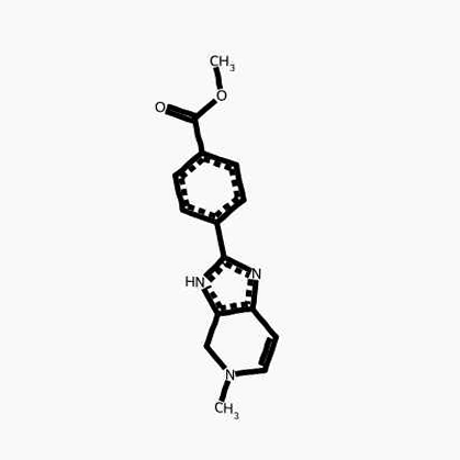 COC(=O)c1ccc(-c2nc3c([nH]2)CN(C)C=C3)cc1